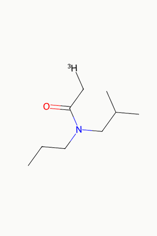 [3H]CC(=O)N(CCC)CC(C)C